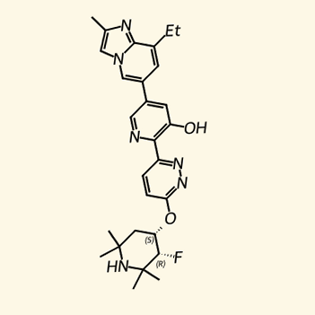 CCc1cc(-c2cnc(-c3ccc(O[C@H]4CC(C)(C)NC(C)(C)[C@H]4F)nn3)c(O)c2)cn2cc(C)nc12